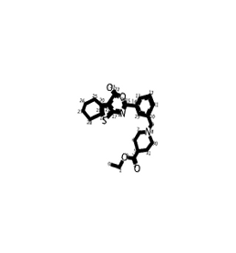 CCOC(=O)C1CCN(Cc2cccc(-c3nc4sc5c(c4c(=O)o3)CCCC5)c2)CC1